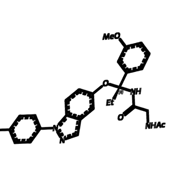 CC[C@@](NC(=O)CNC(C)=O)(Oc1ccc2c(cnn2-c2ccc(F)cc2)c1)c1cccc(OC)c1